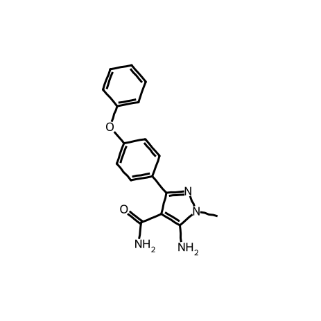 Cn1nc(-c2ccc(Oc3ccccc3)cc2)c(C(N)=O)c1N